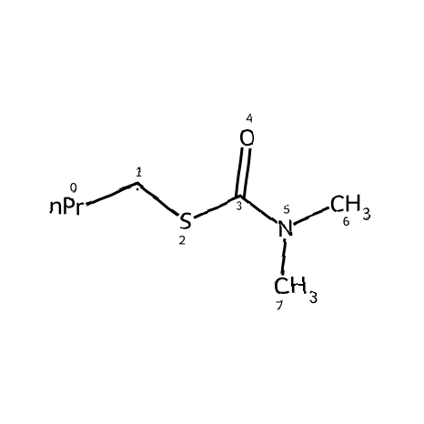 CCC[CH]SC(=O)N(C)C